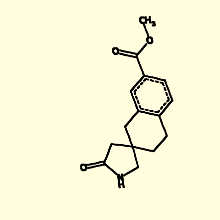 COC(=O)c1ccc2c(c1)CC1(CC2)CNC(=O)C1